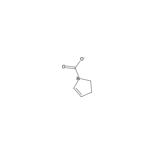 O=[C]([O-])[Bi]1[CH]=CC[CH2]1